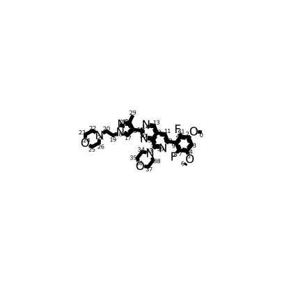 COc1cc(OC)c(F)c(-c2cc3cnc(-c4cn(CCN5CCOCC5)nc4C)nc3c(N3CCOCC3)n2)c1F